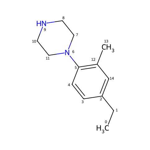 CCc1ccc(N2CCNCC2)c(C)c1